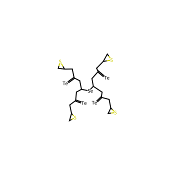 [Te]=C(CC1CS1)CC(CC(=[Te])CC1CS1)[Se]C(CC(=[Te])CC1CS1)CC(=[Te])CC1CS1